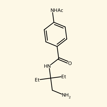 CCC(CC)(CN)NC(=O)c1ccc(NC(C)=O)cc1